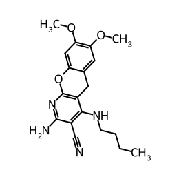 CCCCNc1c(C#N)c(N)nc2c1Cc1cc(OC)c(OC)cc1O2